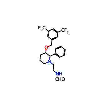 O=CNCCN1CCC[C@@H](OCc2cc(C(F)(F)F)cc(C(F)(F)F)c2)[C@H]1c1ccccc1